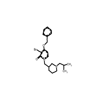 C[C](C)CN1CCCC(Cn2ccc(OCc3ccccc3)c(Br)c2=O)C1